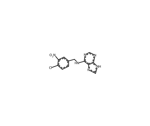 O=[N+]([O-])c1cc(CNc2ncnc3[nH]cnc23)ccc1Cl